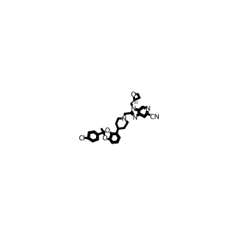 CC1(c2ccc(Cl)cc2)Oc2cccc(C3CCN(Cc4nc5cc(C#N)ncc5n4C[C@@H]4CCO4)CC3)c2O1